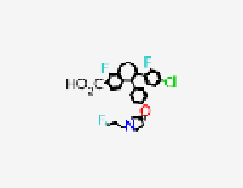 O=C(O)c1ccc2c(c1F)CCCC(c1ccc(Cl)cc1F)=C2c1ccc(O[C@H]2CCN(CCCF)C2)cc1